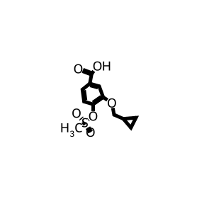 CS(=O)(=O)Oc1ccc(C(=O)O)cc1OCC1CC1